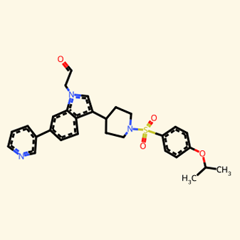 CC(C)Oc1ccc(S(=O)(=O)N2CCC(c3cn(CC=O)c4cc(-c5cccnc5)ccc34)CC2)cc1